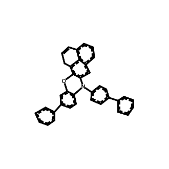 C1=Cc2cccc3cc4c(c(c23)C1)Oc1cc(-c2ccccc2)ccc1N4c1ccc(-c2ccccc2)cc1